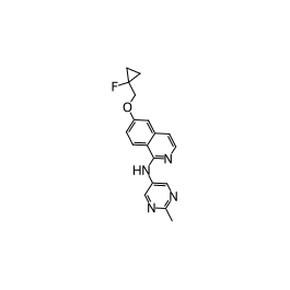 Cc1ncc(Nc2nccc3cc(OCC4(F)CC4)ccc23)cn1